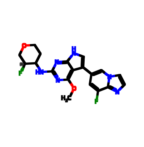 COc1nc(NC2CCOC[C@@H]2F)nc2[nH]cc(-c3cc(F)c4nccn4c3)c12